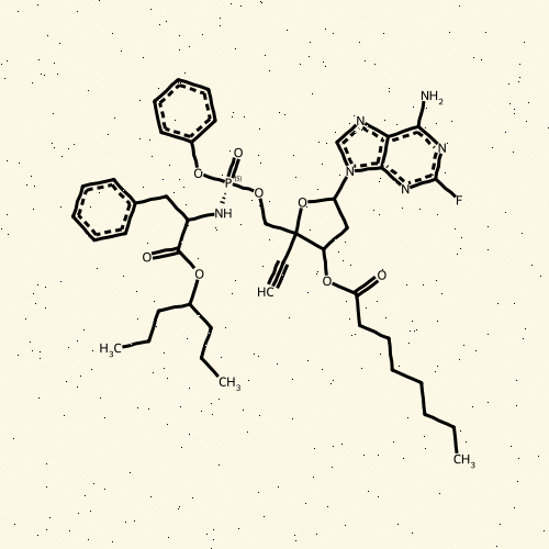 C#CC1(CO[P@@](=O)(NC(Cc2ccccc2)C(=O)OC(CCC)CCC)Oc2ccccc2)OC(n2cnc3c(N)nc(F)nc32)CC1OC(=O)CCCCCCC